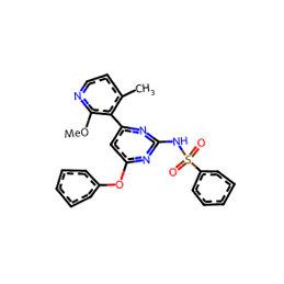 COc1nccc(C)c1-c1cc(Oc2ccccc2)nc(NS(=O)(=O)c2ccccc2)n1